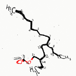 CCCCCCCCC(CCC)CCC(CC)COC=O